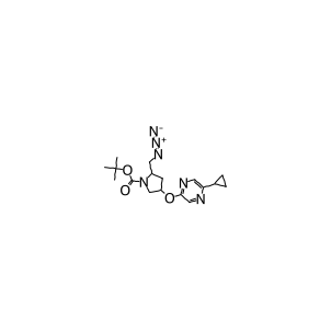 CC(C)(C)OC(=O)N1CC(Oc2cnc(C3CC3)cn2)CC1CN=[N+]=[N-]